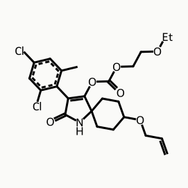 C=CCOC1CCC2(CC1)NC(=O)C(c1c(C)cc(Cl)cc1Cl)=C2OC(=O)OCCOCC